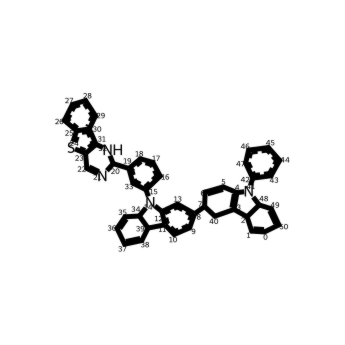 C1=CC2C3=C(C=CC(c4ccc5c(c4)N(c4cccc(C6N=Cc7sc8ccccc8c7N6)c4)C4C=CC=CC54)C3)N(c3ccccc3)C2C=C1